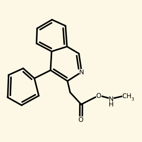 CNOC(=O)Cc1ncc2ccccc2c1-c1ccccc1